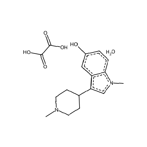 CN1CCC(c2cn(C)c3ccc(O)cc23)CC1.O.O=C(O)C(=O)O